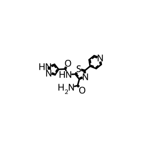 NC(=O)c1nc(-c2ccncc2)sc1NC(=O)c1cn[nH]c1